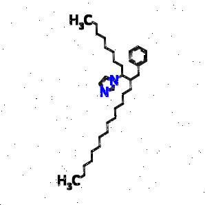 CCCCCCCCCCCCCCC(Cc1ccccc1)C(CCCCCCCC)n1ccnc1